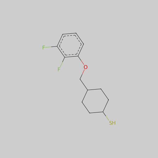 Fc1cccc(OCC2CCC(S)CC2)c1F